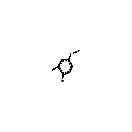 [CH2]c1cc(OC(C)C)ccc1Br